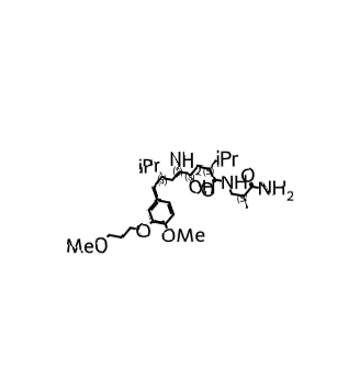 COCCCOc1cc(C[C@@H](C[C@H](N)[C@@H](O)C[C@H](C(=O)NC[C@H](C)C(N)=O)C(C)C)C(C)C)ccc1OC